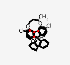 C[C@H]1CCOc2c(Cl)ccc(P(=O)(c3ccccc3)c3ccccc3)c2-c2c(P(=O)(c3ccccc3)c3ccccc3)ccc(Cl)c2O1